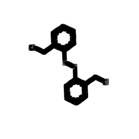 ClCc1ccccc1SSc1ccccc1CCl